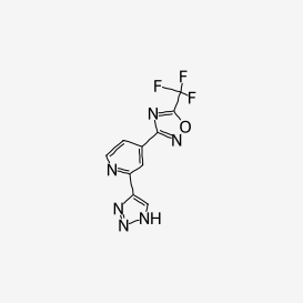 FC(F)(F)c1nc(-c2ccnc(-c3c[nH]nn3)c2)no1